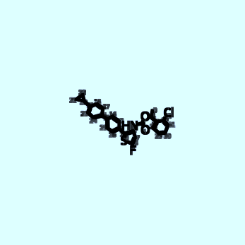 CC(OC(=O)Nc1cc(F)sc1-c1ccc(-c2ccc(C3CC3)cc2)cc1)c1ccccc1Cl